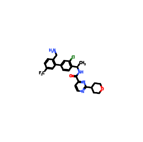 C[C@@H](NC(=O)c1ccnc(C2CCOCC2)n1)c1ccc(-c2cc(C(F)(F)F)ccc2CN)cc1Cl